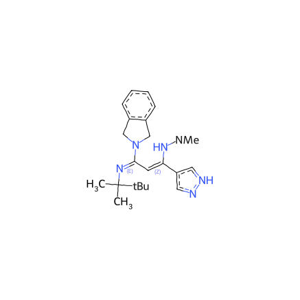 CNN/C(=C\C(=N/C(C)(C)C(C)(C)C)N1Cc2ccccc2C1)c1cn[nH]c1